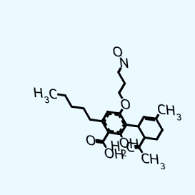 C=C(C)C1CCC(C)=CC1c1c(OCCCN=O)cc(CCCCC)c(C(=O)O)c1O